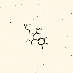 COC(=O)[C@@H](CCCC=O)N(C(=O)C(F)(F)F)c1cc(C)c(F)c(C)c1